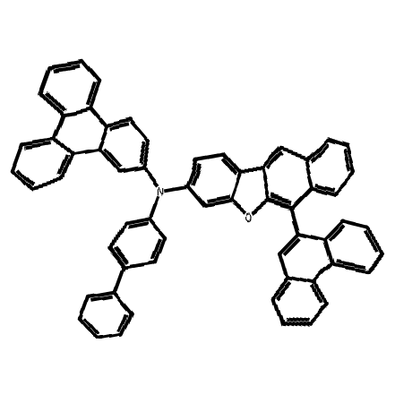 c1ccc(-c2ccc(N(c3ccc4c(c3)oc3c(-c5cc6ccccc6c6ccccc56)c5ccccc5cc34)c3ccc4c5ccccc5c5ccccc5c4c3)cc2)cc1